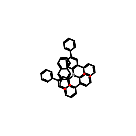 c1ccc(-c2cccc(N(c3ccc(-c4ccccc4)cc3-c3ccccc3)c3ccccc3-c3cccc4oc5cc6ccccc6cc5c34)c2)cc1